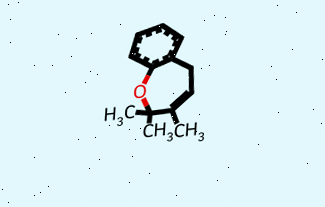 CC1=CCc2ccccc2OC1(C)C